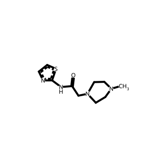 CN1CCN(CC(=O)Nc2nccs2)CC1